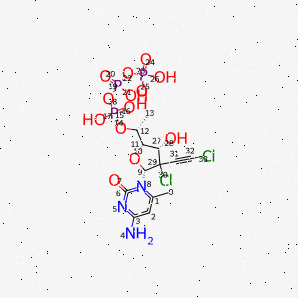 Cc1cc(N)nc(=O)n1[C@@H]1O[C@H]([C@@H](C)OP(=O)(O)OP(=O)(O)OP(=O)(O)O)[C@H](O)C1(Cl)C#CCl